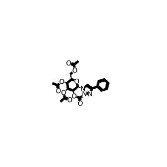 CC(=O)OC[C@H]1O[C@H](n2cc(-c3ccccc3)nn2)[C@@H](OC(C)=O)[C@@H](OC(C)=O)[C@@H]1OC(C)=O